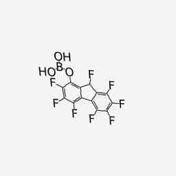 OB(O)Oc1c(F)c(F)c(F)c2c1C(F)c1c(F)c(F)c(F)c(F)c1-2